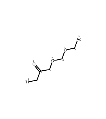 [3H]CC(=O)COCOCC(C)=O